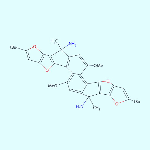 COc1cc2c(c3c(OC)cc4c(c13)-c1oc3cc(C(C)(C)C)oc3c1C4(C)N)-c1oc3cc(C(C)(C)C)oc3c1C2(C)N